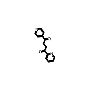 O=C(CCC(=O)c1ccccn1)c1ccncc1